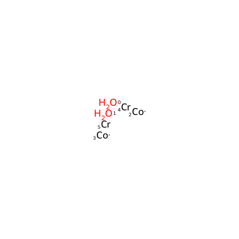 O.O.[Co].[Co].[Cr].[Cr]